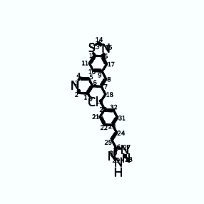 Clc1cnccc1C(=Cc1ccc2scnc2c1)CCc1ccc(C=Cc2nn[nH]n2)cc1